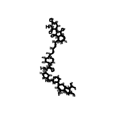 CC(C)c1c2cc(-c3ccnc(N[C@H]4CC[C@H](NC(=O)N5CCN(CCCCCc6cccc7c6C(=O)N(C6CCC(=O)NC6=O)C7=O)CC5)C4)n3)cc(F)c2nn1C